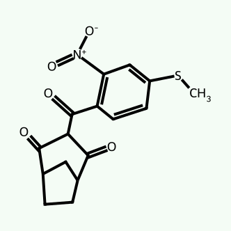 CSc1ccc(C(=O)C2C(=O)C3CCC(C3)C2=O)c([N+](=O)[O-])c1